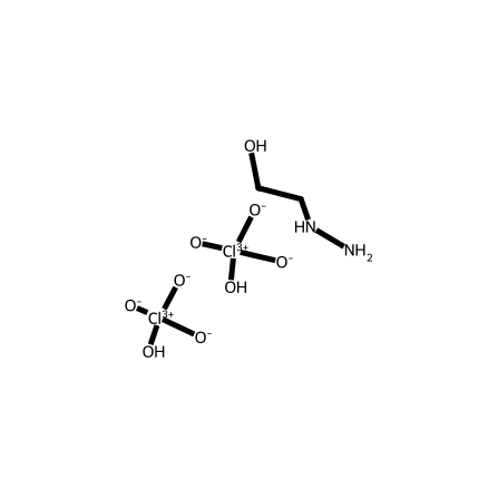 NNCCO.[O-][Cl+3]([O-])([O-])O.[O-][Cl+3]([O-])([O-])O